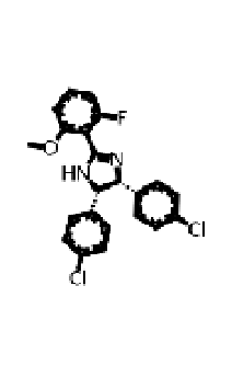 COc1cccc(F)c1C1=N[C@H](c2ccc(Cl)cc2)[C@H](c2ccc(Cl)cc2)N1